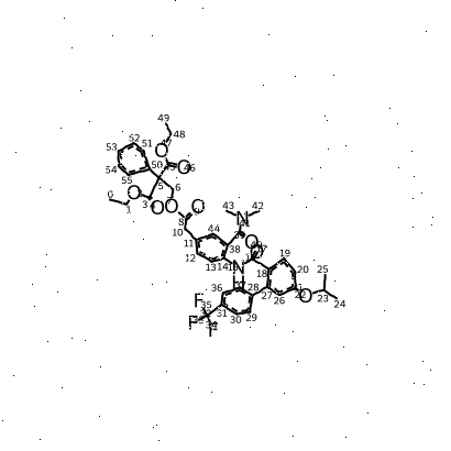 CCOC(=O)C(COC(=O)Cc1ccc(NC(=O)c2ccc(OC(C)C)cc2-c2ccc(C(F)(F)F)cc2)c(C(=O)N(C)C)c1)(C(=O)OCC)c1ccccc1